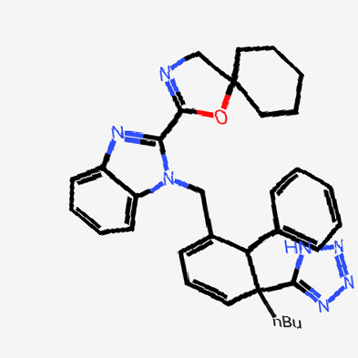 CCCCC1(c2nnn[nH]2)C=CC=C(Cn2c(C3=NCC4(CCCCC4)O3)nc3ccccc32)C1c1ccccc1